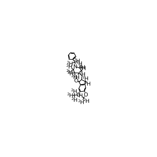 [2H]C([2H])([2H])Oc1cc2c(cc1OC([2H])([2H])[2H])C([2H])([2H])C(CC1([2H])C([2H])([2H])C([2H])([2H])N(C([2H])([2H])c3ccccc3)C([2H])([2H])C1([2H])[2H])C2=O